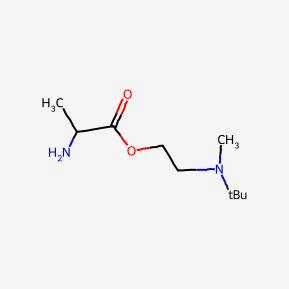 CC(N)C(=O)OCCN(C)C(C)(C)C